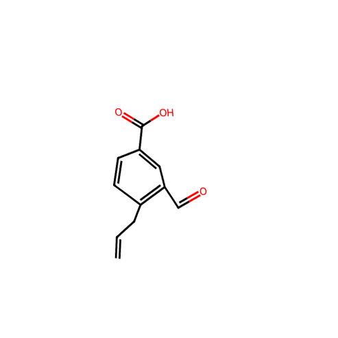 C=CCc1ccc(C(=O)O)cc1C=O